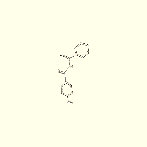 N#Cc1ccc(C(=O)NC(=O)c2ccccc2)cc1